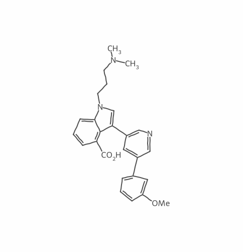 COc1cccc(-c2cncc(-c3cn(CCCN(C)C)c4cccc(C(=O)O)c34)c2)c1